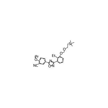 CCc1c(OCOCC[Si](C)(C)C)cccc1-c1noc(-c2ccc(OC(C)C)c(C#N)c2)n1